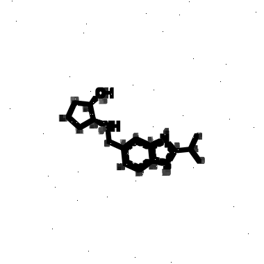 CC(C)c1nc2cc(CN[C@H]3CCC[C@H]3O)ccc2s1